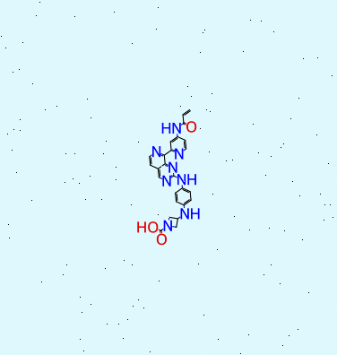 C=CC(=O)Nc1ccnc(-c2nccc3cnc(Nc4ccc(NC5CN(C(=O)O)C5)cc4)nc23)c1